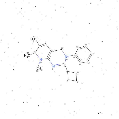 CC1=CC2=C(N=C(C3CCC3)N(c3ccccc3)C2)N(C)C1C